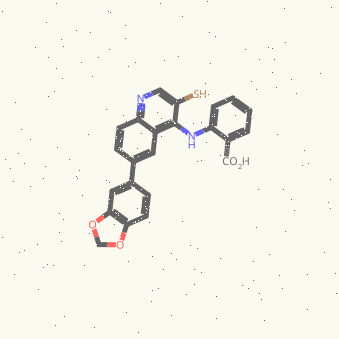 O=C(O)c1ccccc1Nc1c(S)cnc2ccc(-c3ccc4c(c3)OCO4)cc12